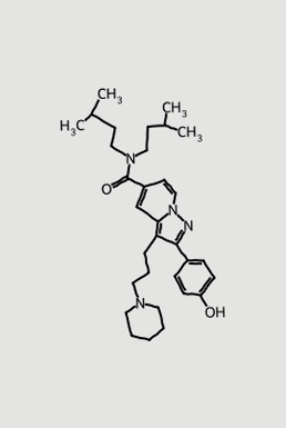 CC(C)CCN(CCC(C)C)C(=O)c1ccn2nc(-c3ccc(O)cc3)c(CCCN3CCCCC3)c2c1